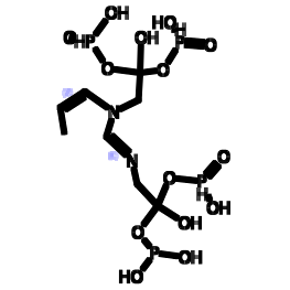 C/C=C\N(/C=N/CC(O)(OP(O)O)O[PH](=O)O)CC(O)(O[PH](=O)O)O[PH](=O)O